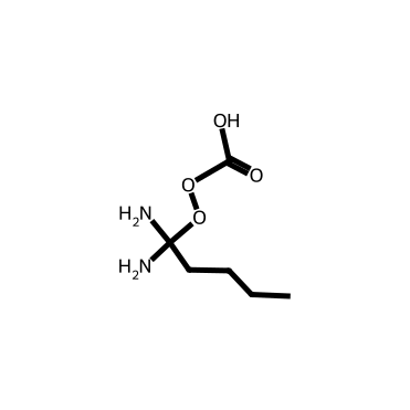 CCCCC(N)(N)OOC(=O)O